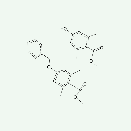 COC(=O)c1c(C)cc(O)cc1C.COC(=O)c1c(C)cc(OCc2ccccc2)cc1C